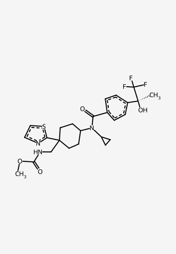 COC(=O)NCC1(c2nccs2)CCC(N(C(=O)c2ccc([C@](C)(O)C(F)(F)F)cc2)C2CC2)CC1